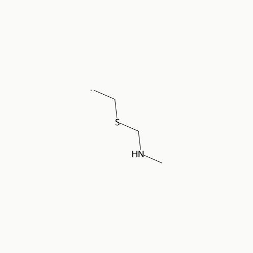 [CH2]CSCNC